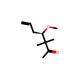 C=CC[C@@H](OC)C(C)(C)C(C)=O